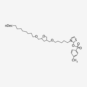 CCCCCCCCCCCCCCCCCCOCC1CC(COCCCCCN2C=CSC2OS(=O)(=O)c2ccc(C)cc2)CO1